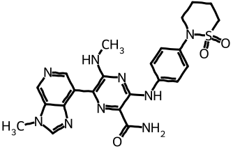 CNc1nc(Nc2ccc(N3CCCCS3(=O)=O)cc2)c(C(N)=O)nc1-c1cncc2c1ncn2C